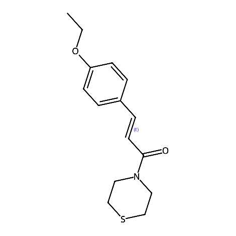 CCOc1ccc(/C=C/C(=O)N2CCSCC2)cc1